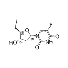 O=c1[nH]c(=O)n([C@H]2C[C@H](O)[C@@H](CI)O2)cc1F